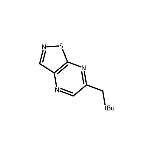 CC(C)(C)Cc1cnc2cnsc2n1